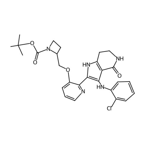 CC(C)(C)OC(=O)N1CCC1COc1cccnc1-c1[nH]c2c(c1Nc1ccccc1Cl)C(=O)NCC2